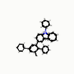 Cc1cc(C2=CCCC=C2)cc(-c2ccc3c(c2)c2ccccc2n3-c2ccccc2)c1-c1ccccc1